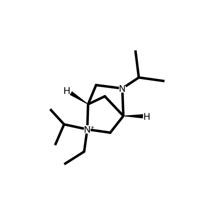 CC[N+]1(C(C)C)C[C@@H]2C[C@H]1CN2C(C)C